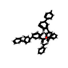 Cc1ccc(-c2ccc3c(c2)c2ccccc2n3-c2ccc(-c3ccc4c(c3)oc3ccccc34)cc2-c2nc(-c3ccccc3)nc(-c3ccccc3)n2)cc1